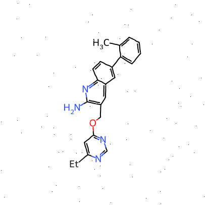 CCc1cc(OCc2cc3cc(-c4ccccc4C)ccc3nc2N)ncn1